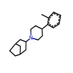 Cc1ccccc1C1CCN(C2CC3CCC(C3)C2)CC1